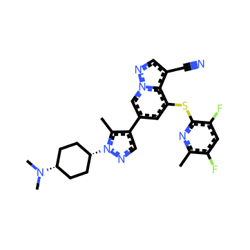 Cc1nc(Sc2cc(-c3cnn([C@H]4CC[C@@H](N(C)C)CC4)c3C)cn3ncc(C#N)c23)c(F)cc1F